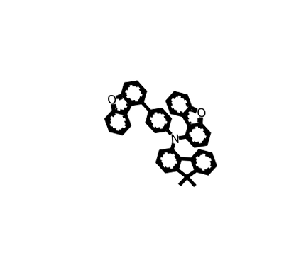 CC1(C)c2ccccc2-c2c(N(c3ccc(-c4cccc5oc6ccccc6c45)cc3)c3cccc4oc5ccccc5c34)cccc21